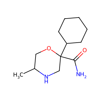 CC1COC(C(N)=O)(C2CCCCC2)CN1